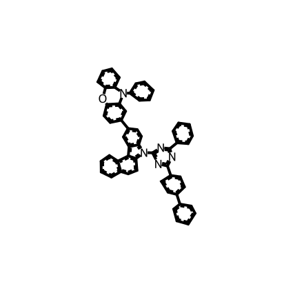 c1ccc(-c2ccc(-c3nc(-c4ccccc4)nc(-n4c5ccc(-c6ccc7c(c6)N(c6ccccc6)c6ccccc6O7)cc5c5c6ccccc6ccc54)n3)cc2)cc1